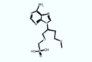 COCCC(COCP(=O)(O)O)n1cnc2c(N)ncnc21